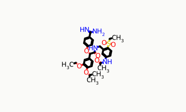 CCOc1cc(C(Oc2ccc(C(=N)N)cc2)C(=O)NCc2cc(NC(C)=O)ccc2S(=O)(=O)CC)ccc1OC(C)C